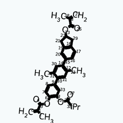 C=C(C)C(=O)Oc1ccc(-c2cc(C)c(-c3ccc4c(c3)CC(OC(=O)C(=C)C)C4)cc2C)cc1OC(=O)C(C)C